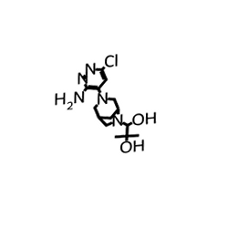 CC(C)(O)C(O)N1CC2CC1CN(c1cc(Cl)nnc1N)C2